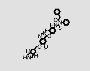 COc1cc2c(Oc3ccc(NC(=S)N(C(=O)Cc4ccccc4)c4ccccc4)cc3F)ncnc2cc1OCC1C[C@H]2CNC[C@H]2C1